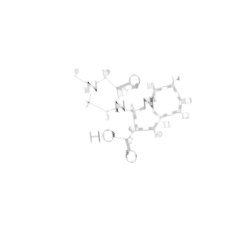 CN1CCN(c2c(C(=O)O)cc3ccccn23)C(=O)C1